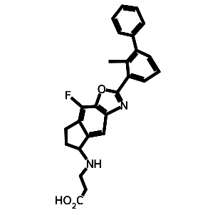 Cc1c(-c2ccccc2)cccc1-c1nc2cc3c(c(F)c2o1)CCC3NCCC(=O)O